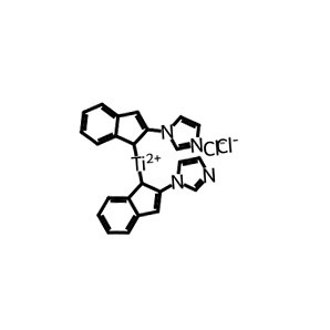 C1=C(n2ccnc2)[CH]([Ti+2][CH]2C(n3ccnc3)=Cc3ccccc32)c2ccccc21.[Cl-].[Cl-]